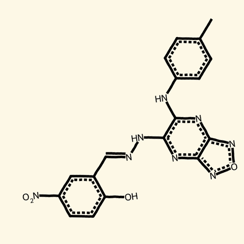 Cc1ccc(Nc2nc3nonc3nc2N/N=C/c2cc([N+](=O)[O-])ccc2O)cc1